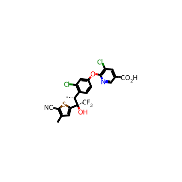 Cc1cc([C@](O)([C@H](C)c2ccc(Oc3ncc(C(=O)O)cc3Cl)cc2Cl)C(F)(F)F)sc1C#N